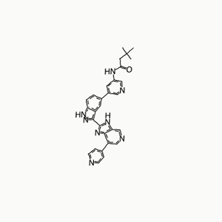 CC(C)(C)CC(=O)Nc1cncc(-c2ccc3[nH]nc(-c4nc5c(-c6ccncc6)cncc5[nH]4)c3c2)c1